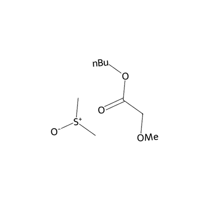 CCCCOC(=O)COC.C[S+](C)[O-]